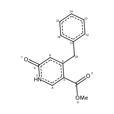 COC(=O)c1c[nH]c(=O)cc1Cc1ccccc1